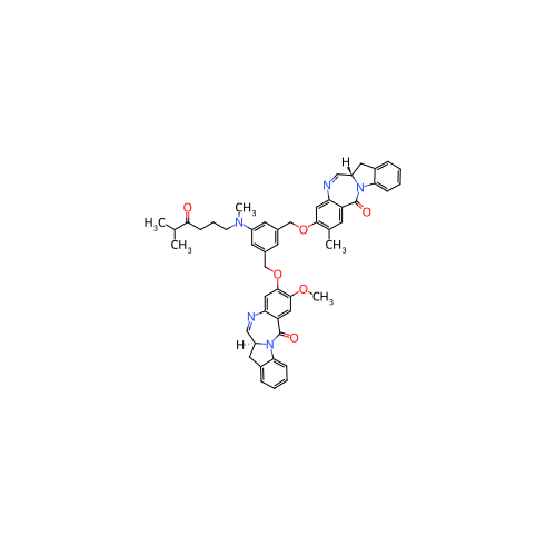 COc1cc2c(cc1OCc1cc(COc3cc4c(cc3C)C(=O)N3c5ccccc5C[C@H]3C=N4)cc(N(C)CCCC(=O)C(C)C)c1)N=C[C@@H]1Cc3ccccc3N1C2=O